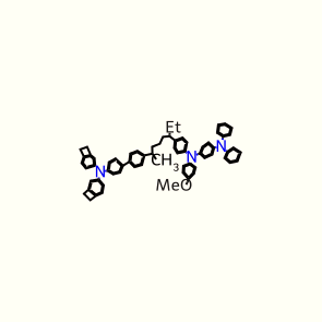 CCC(CCCC(C)c1ccc(-c2ccc(N(c3ccc4c(c3)CC4)c3ccc4c(c3)CC4)cc2)cc1)c1ccc(N(c2ccc(OC)cc2)c2ccc(N(c3ccccc3)c3ccccc3)cc2)cc1